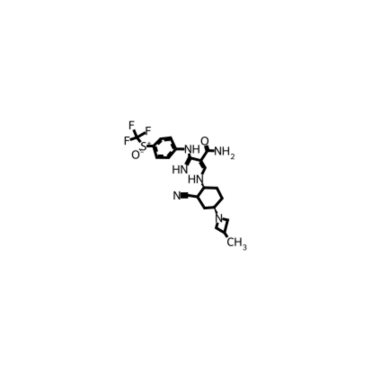 CC1CN([C@@H]2CC[C@H](N/C=C(\C(=N)Nc3ccc([S+]([O-])C(F)(F)F)cc3)C(N)=O)C(C#N)C2)C1